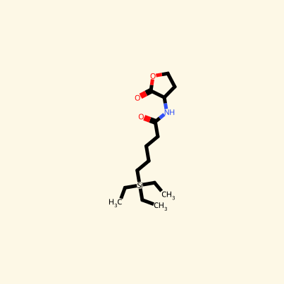 CC[Si](CC)(CC)CCCCC(=O)NC1CCOC1=O